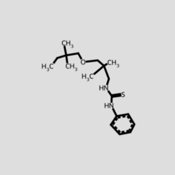 CCC(C)(C)COCC(C)(C)CNC(=S)Nc1ccccc1